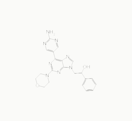 Nc1ncc(-c2nc(N3CCOCC3)nc3c2ncn3CC(O)c2ccccc2)cn1